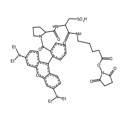 CCN(CC)c1ccc2c(-c3ccccc3C(=O)N3CCCC3C(=O)NC(CS(=O)(=O)O)C(=O)NCCCCC(=O)ON3C(=O)CCC3=O)c3ccc(N(CC)CC)cc3[o+]c2c1